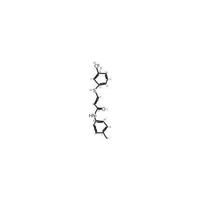 Cc1ccc(NC(=O)C=CSc2cccc(C(F)(F)F)c2)cc1